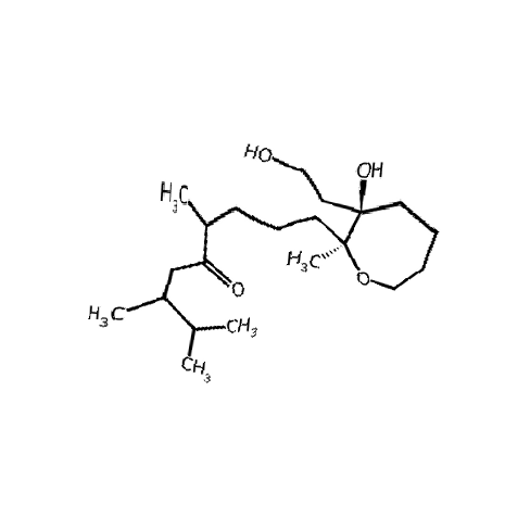 CC(CCC[C@]1(C)OCCCC[C@@]1(O)CCO)C(=O)CC(C)C(C)C